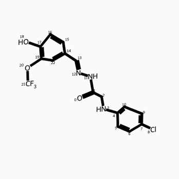 O=C(CNc1ccc(Cl)cc1)NN=Cc1ccc(O)c(OC(F)(F)F)c1